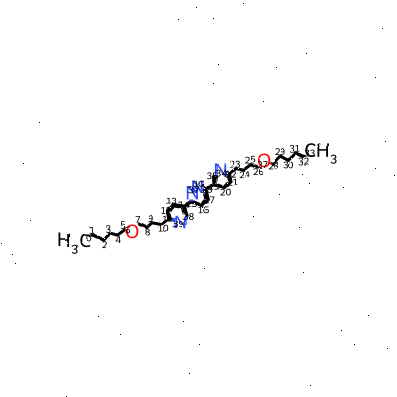 CCCCCCOCCCCc1ccc(-c2ccc(-c3ccc(CCCCOCCCCCC)nc3)nn2)cn1